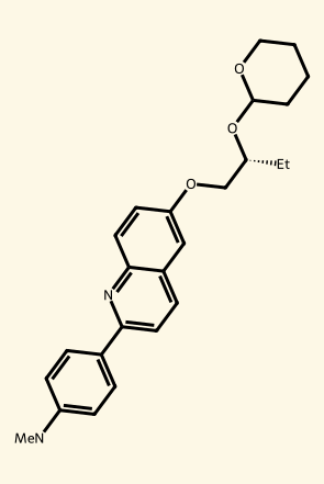 CC[C@H](COc1ccc2nc(-c3ccc(NC)cc3)ccc2c1)OC1CCCCO1